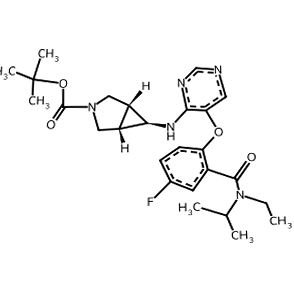 CCN(C(=O)c1cc(F)ccc1Oc1cncnc1N[C@H]1[C@@H]2CN(C(=O)OC(C)(C)C)C[C@@H]21)C(C)C